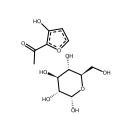 CC(=O)c1occc1O.OC[C@H]1O[C@H](O)[C@H](O)[C@@H](O)[C@@H]1O